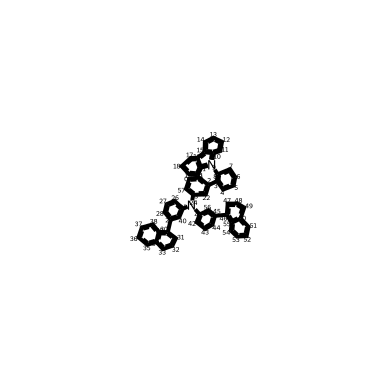 c1cc(-c2ccccc2-n2c3ccccc3c3ccccc32)cc(N(c2cccc(-c3cccc4ccccc34)c2)c2cccc(-c3cccc4ccccc34)c2)c1